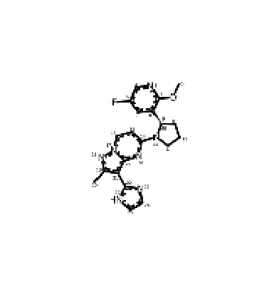 COc1ncc(F)cc1[C@H]1CCCN1c1ccn2nc(C)c(-c3ncc[nH]3)c2n1